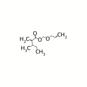 C=CCOCOC(=O)C(=C)C(C)CC